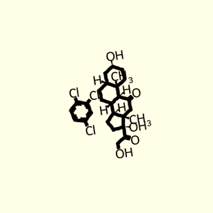 C[C@]12CC[C@@H](O)C[C@H]1CC[C@@H]1[C@@H]2C(=O)C[C@@]2(C)[C@H]1CC[C@]2(O)C(=O)CO.Clc1ccc(Cl)c(Cl)c1